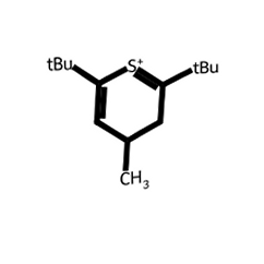 CC1C=C(C(C)(C)C)[S+]=C(C(C)(C)C)C1